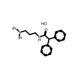 CC(C)N(CCCNC(=O)C(c1ccccc1)c1ccccc1)C(C)C.Cl